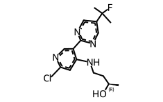 C[C@@H](O)CCNc1cc(Cl)ncc1-c1ncc(C(C)(C)F)cn1